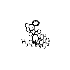 CN1C(C)(C)CC2(CC1(C)C)OC(=O)N(c1ccccc1Cl)C2=O